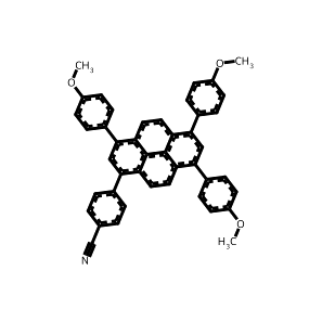 COc1ccc(-c2cc(-c3ccc(C#N)cc3)c3ccc4c(-c5ccc(OC)cc5)cc(-c5ccc(OC)cc5)c5ccc2c3c45)cc1